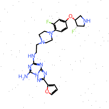 Nc1nc(NCCN2CCN(c3ccc(O[C@H]4CNC[C@@H]4F)cc3F)CC2)nc2nc(-c3ccco3)nn12